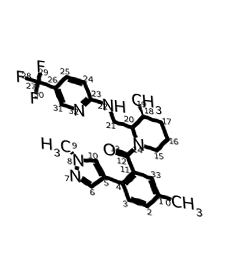 Cc1ccc(-c2cnn(C)c2)c(C(=O)N2CCC[C@H](C)C2CNc2ccc(C(F)(F)F)cn2)c1